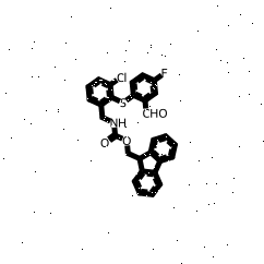 O=Cc1cc(F)ccc1Sc1c(Cl)cccc1CNC(=O)OCC1c2ccccc2-c2ccccc21